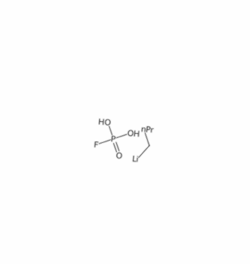 O=P(O)(O)F.[Li][CH2]CCC